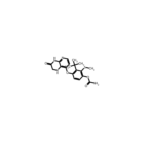 CSc1c(OC(N)=O)ccc(Oc2ccnc3c2NCC(=O)N3)c1C(C)(C)C